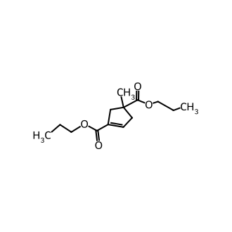 CCCOC(=O)C1=CCC(C)(C(=O)OCCC)C1